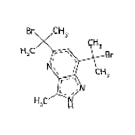 Cc1[nH]nc2c(C(C)(C)Br)cc(C(C)(C)Br)nc12